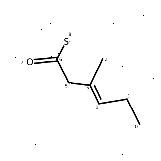 CC/C=C(\C)CC(=O)[S]